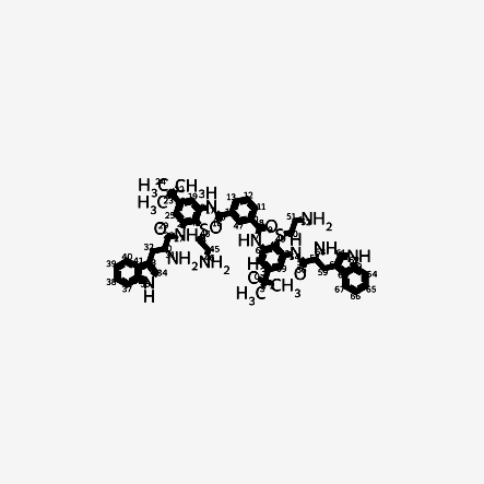 CC(C)(C)c1cc(NC(=O)c2cccc(C(=O)Nc3cc(C(C)(C)C)cc(NC(=O)[C@@H](N)Cc4c[nH]c5ccccc45)c3SCCN)c2)c(SCCN)c(NC(=O)[C@@H](N)Cc2c[nH]c3ccccc23)c1